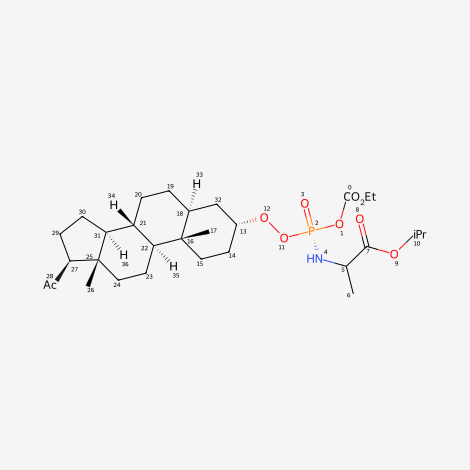 CCOC(=O)O[P@@](=O)(NC(C)C(=O)OC(C)C)OO[C@@H]1CC[C@@]2(C)[C@@H](CC[C@@H]3[C@@H]2CC[C@]2(C)[C@@H](C(C)=O)CC[C@@H]32)C1